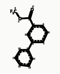 O=C(OC(F)(F)F)c1cccc(-c2ccccc2)c1